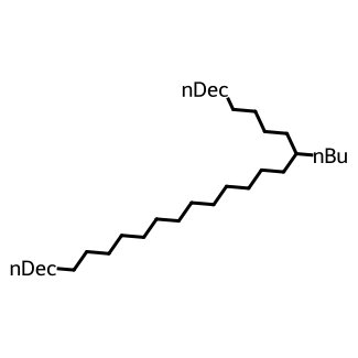 [CH2]CCCC(CCCCCCCCCCCCCC)CCCCCCCCCCCCCCCCCCCCCCC